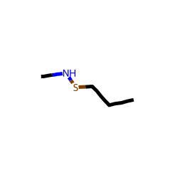 CCCSNC